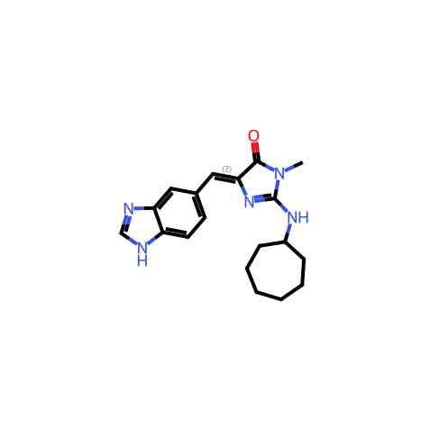 CN1C(=O)/C(=C/c2ccc3[nH]cnc3c2)N=C1NC1CCCCCC1